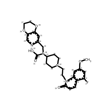 COc1cc(F)c2ccc(=O)n(CCN3CCC(N(Cc4cc5c(cn4)OCCO5)C(=O)O)CC3)c2c1